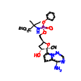 CCOC(=O)C(C)(C)NP(=O)(OC[C@@H]1C[C@@H](O)[C@](C#N)(c2ccc3c(N)ncnn23)O1)Oc1ccccc1